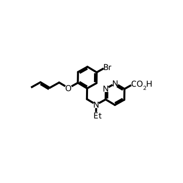 CC=CCOc1ccc(Br)cc1CN(CC)c1ccc(C(=O)O)nn1